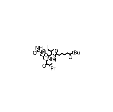 CC(C)C(C)C(=O)[C@H](CCCNC(N)=O)NC(=O)[C@@H](NC(=O)CCCCC(=O)C(C)(C)C)C(C)CI